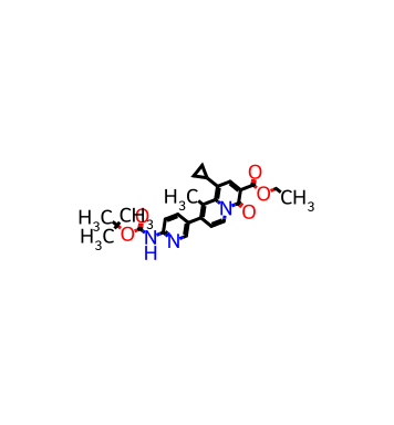 CCOC(=O)c1cc(C2CC2)c2c(C)c(-c3ccc(NC(=O)OC(C)(C)C)nc3)ccn2c1=O